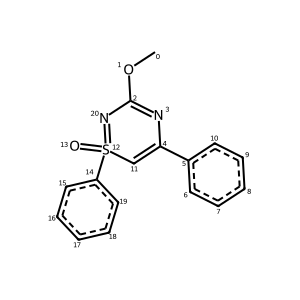 COC1=NC(c2ccccc2)=CS(=O)(c2ccccc2)=N1